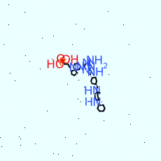 Nc1nc(NC[C@H]2CC[C@H](CNCCCNC3CCCCC3)CC2)nc(N2CCN(CCCP(=O)(O)O)C3(CCCC3)C2)n1